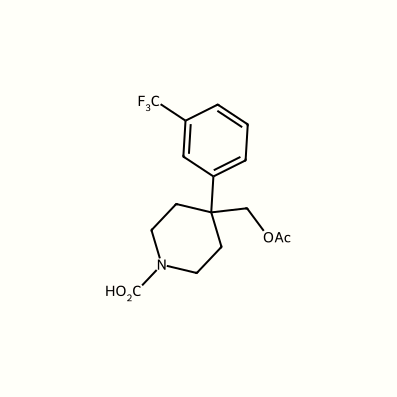 CC(=O)OCC1(c2cccc(C(F)(F)F)c2)CCN(C(=O)O)CC1